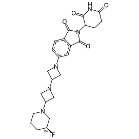 O=C1CCC(N2C(=O)c3ccc(N4CC(N5CC(N6CCC[C@H](F)C6)C5)C4)cc3C2=O)C(=O)N1